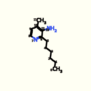 CCCCCCc1nccc(C)c1N